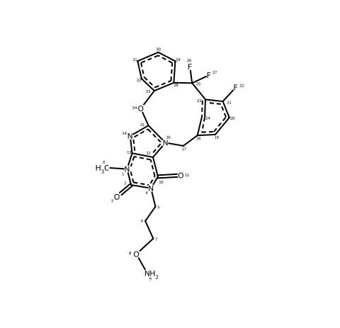 Cn1c(=O)n(CCCON)c(=O)c2c1nc1n2Cc2ccc(F)c(c2)C(F)(F)c2ccccc2O1